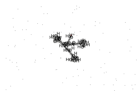 CCC(C)(C)NC(=O)CCCCCNC(=O)C(CCCCNC(=O)CCCCCOC(OC(CO)[C@@H](C)O)[C@H](CO)NC(C)=O)NC(=O)C(CCCCNC(=O)CCCCCOC(OC(CO)[C@@H](C)O)[C@H](CO)NC(C)=O)NC(=O)CCCCCOC1OC(CO)C(O)C(O)C1NC(C)=O